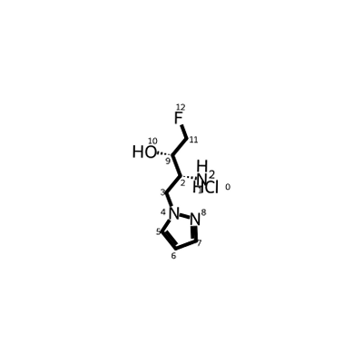 Cl.N[C@H](Cn1cccn1)[C@H](O)CF